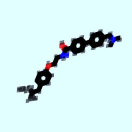 CCCCC(Cc1ccc(OCCNC(=O)c2ccc(-c3ccc(CN(C)C)cc3)cc2)cc1)C(=O)O